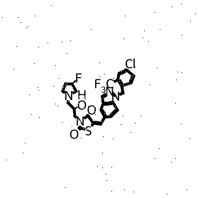 O=C1SC(=Cc2ccc3c(cnn3Cc3ccc(Cl)cc3C(F)(F)F)c2)C(=O)N1C[C@H](O)CN1CC[C@@H](F)C1